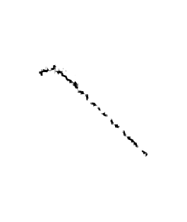 COCCOCCOCCOCCOCCOCCOCCOCCOCCOCCOCCOCC(=O)NCCCCC(N)C(=O)NC(C)C(=O)NCCC(C)C